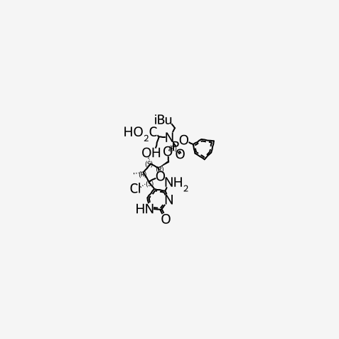 CCC(C)CN(C(C)C(=O)O)[P@@](=O)(OC[C@H]1O[C@@](Cl)(c2c[nH]c(=O)nc2N)[C@H](C)[C@@H]1O)Oc1ccccc1